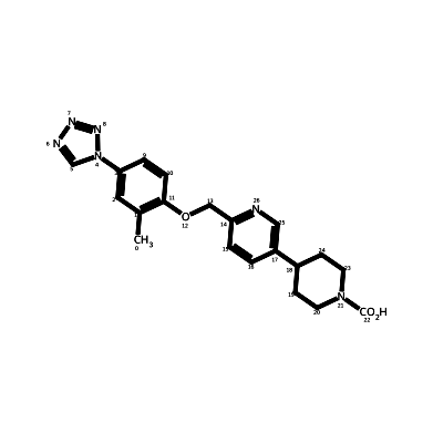 Cc1cc(-n2cnnn2)ccc1OCc1ccc(C2CCN(C(=O)O)CC2)cn1